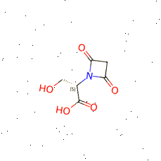 O=C(O)[C@H](CO)N1C(=O)CC1=O